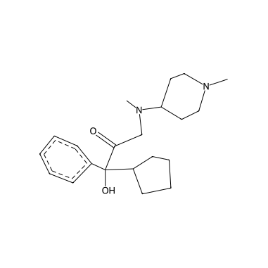 CN1CCC(N(C)CC(=O)C(O)(c2ccccc2)C2CCCC2)CC1